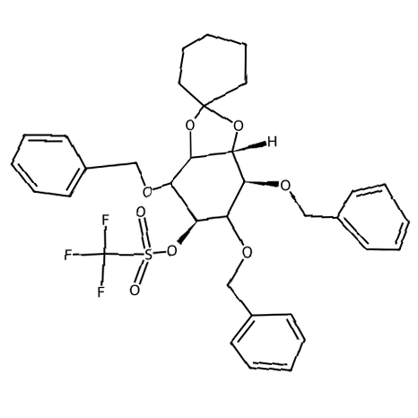 O=S(=O)(O[C@H]1C(OCc2ccccc2)C2OC3(CCCCC3)O[C@@H]2[C@@H](OCc2ccccc2)C1OCc1ccccc1)C(F)(F)F